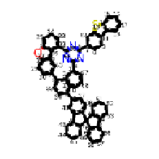 c1ccc(-c2nc(-c3ccc4c(c3)sc3ccccc34)nc(-c3cccc4oc5ccc(-c6ccc(-c7ccc8c(c7)-c7ccccc7C87c8ccccc8-c8ccccc87)cc6)cc5c34)n2)cc1